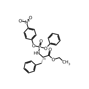 CCOC(=O)[C@H](Cc1ccccc1)NP(=O)(Oc1ccccc1)Oc1ccc([N+](=O)[O-])cc1